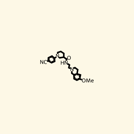 COc1ccc2c(c1)CCN(CCNC(=O)C1CCCN(c3ccc(C#N)cc3)C1)C2